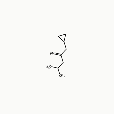 [CH2]C(C)CC(=N)CC1CC1